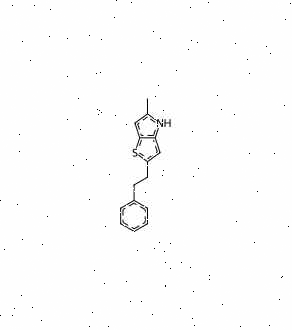 Cc1cc2sc(CCc3ccccc3)cc2[nH]1